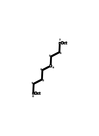 CCCCCCCCCCCOCCCCCCCCCC